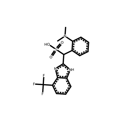 CN(C)c1ccccc1C(c1nc2c(C(F)(F)F)cccc2[nH]1)S(=O)(=O)O